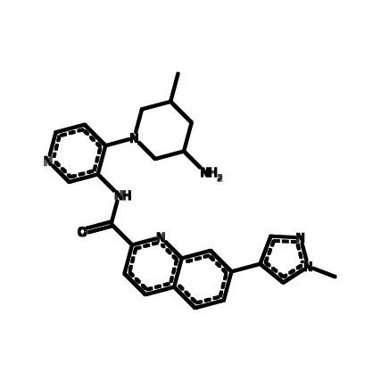 CC1CC(N)CN(c2ccncc2NC(=O)c2ccc3ccc(-c4cnn(C)c4)cc3n2)C1